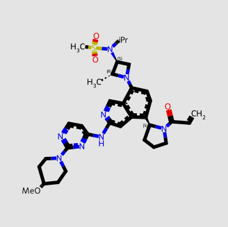 C=CC(=O)N1CCC[C@H]1c1ccc(N2C[C@H](N(C(C)C)S(C)(=O)=O)[C@H]2C)c2cnc(Nc3ccnc(N4CCC(OC)CC4)n3)cc12